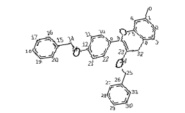 Cc1ccc2c(c1)OC(c1ccc(OCc3ccccc3)cc1)=C(OCc1ccccc1)C2